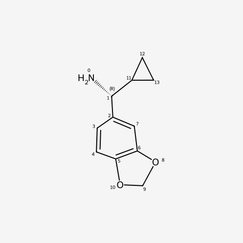 N[C@@H](c1ccc2c(c1)OCO2)C1CC1